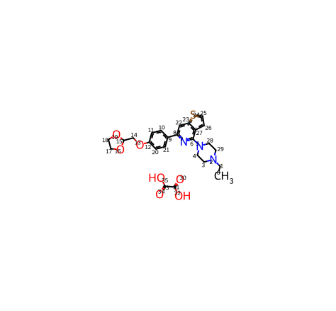 CCN1CCN(c2nc(-c3ccc(OCC4OCCO4)cc3)cc3sccc23)CC1.O=C(O)C(=O)O